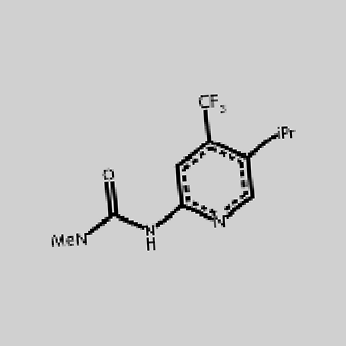 CNC(=O)Nc1cc(C(F)(F)F)c(C(C)C)cn1